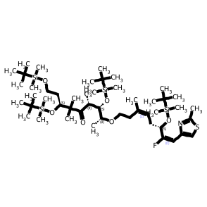 C/C(=C/C[C@H](O[Si](C)(C)C(C)(C)C)/C(F)=C\c1csc(C)n1)CCO[C@H](C)[C@@H](O[Si](C)(C)C(C)(C)C)[C@@H](C)C(=O)C(C)(C)[C@H](CCO[Si](C)(C)C(C)(C)C)O[Si](C)(C)C(C)(C)C